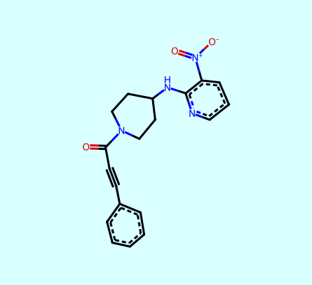 O=C(C#Cc1ccccc1)N1CCC(Nc2ncccc2[N+](=O)[O-])CC1